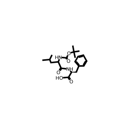 CC(C)CC(NC(=O)OC(C)(C)C)C(=O)N[C@@H](Cc1ccccc1)C(=O)O